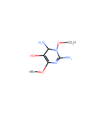 CCCCOC1=C(O)C(N)N(OS(=O)(=O)O)C(N)=N1